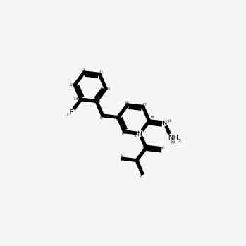 C=C(C(C)C)n1cc(Cc2ccccc2F)cc/c1=N/N